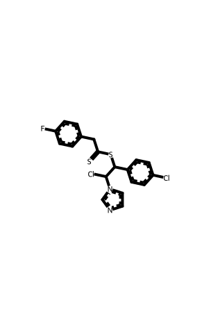 Fc1ccc(CC(=S)SC(c2ccc(Cl)cc2)C(Cl)n2ccnc2)cc1